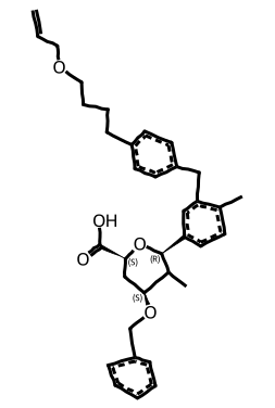 C=CCOCCCCc1ccc(Cc2cc([C@@H]3O[C@H](C(=O)O)C[C@H](OCc4ccccc4)C3C)ccc2C)cc1